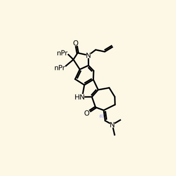 C=CCN1C(=O)C(CCC)(CCC)c2cc3[nH]c4c(c3cc21)CCC/C(=C\N(C)C)C4=O